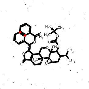 C=C(O/C(=C1/OC(=O)C2=C1C1COC3(C)C(OC(=O)OC(C)(C)C)C(C(C)C)CC4OC43C1(C)CC2)c1ccccc1)c1ccccc1